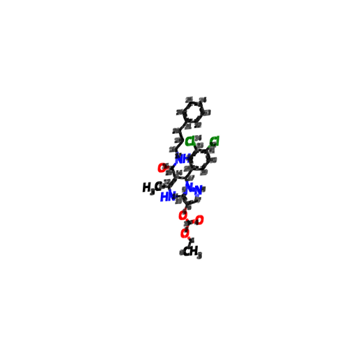 CCOC(=O)Oc1cnn2c1NC(C)=C(C(=O)NCCCc1ccccc1)C2c1ccc(Cl)c(Cl)c1